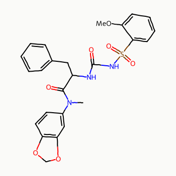 COc1ccccc1S(=O)(=O)NC(=O)NC(Cc1ccccc1)C(=O)N(C)c1ccc2c(c1)OCO2